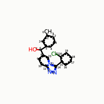 Cc1cccc(C(O)c2ccc3nnc(-c4ccccc4Cl)n3c2)c1